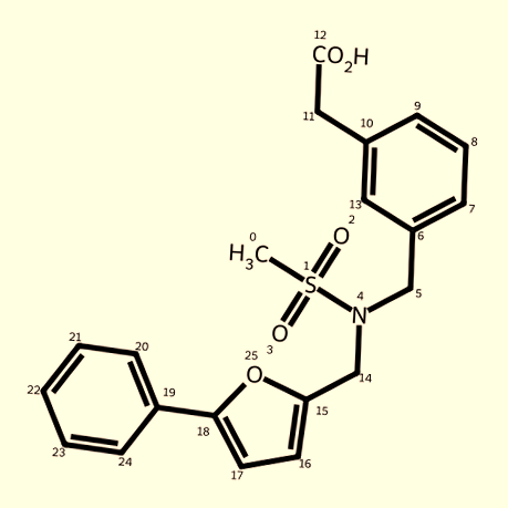 CS(=O)(=O)N(Cc1cccc(CC(=O)O)c1)Cc1ccc(-c2ccccc2)o1